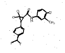 Cc1cc(NC(=O)C2C(c3ccc(C(F)F)cc3)C2(Cl)Cl)ccc1Cl